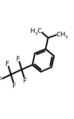 CC(C)c1cccc(C(F)(F)C(F)(F)F)c1